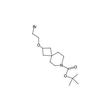 CC(C)(C)OC(=O)N1CCC2(CC1)CC(OCCBr)C2